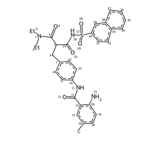 CCN(CC)C(=O)C(Cc1ccc(NC(=O)c2cc(C)ccc2N)cc1)C(=O)NS(=O)(=O)c1ccc2ccccc2c1